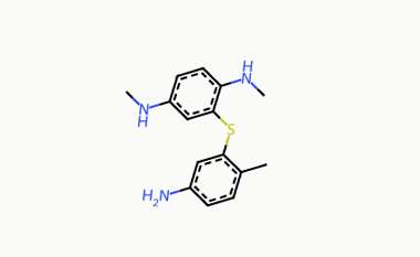 CNc1ccc(NC)c(Sc2cc(N)ccc2C)c1